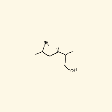 CC(N)CNC(C)CO